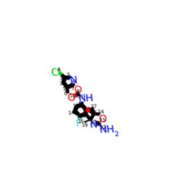 Cc1cc(Cl)cnc1OC(=O)Nc1ccc(F)c([C@@]2(C)N=C(N)OCC23CC3)c1